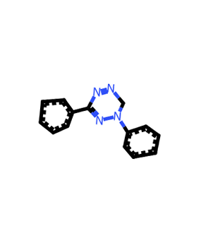 c1ccc(C2=NN(c3ccccc3)CN=N2)cc1